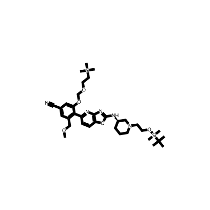 COCc1cc(C#N)cc(OCOCC[Si](C)(C)C)c1-c1ccc2oc(N[C@@H]3CCCN(CCO[Si](C)(C)C(C)(C)C)C3)nc2n1